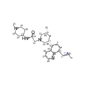 C/N=C/c1ccc([C@H]2C[C@@H](C)CN(CC(=O)NC3CCN(C)CC3)C2)c2cccnc12